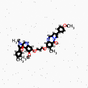 COc1ccc(C2=CN3C(=O)c4cc(C)c(OCCCOc5cc(/N=C\C6CC(c7ccc(C)cc7)=CN6C)c(C=O)cc5OC)cc4N=CC3C2)cc1